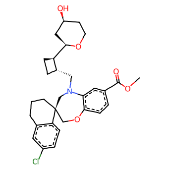 COC(=O)c1ccc2c(c1)N(C[C@@H]1CC[C@H]1[C@H]1C[C@@H](O)CCO1)C[C@@]1(CCCc3cc(Cl)ccc31)CO2